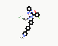 CN1CCC(c2ccc(-c3ccc4c(c3)N(C)C(=O)N(C(c3nc5ccccc5[nH]3)c3cc(F)ccc3O)C4)cc2)CC1.Cl.Cl